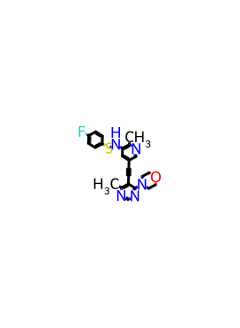 Cc1ncc(C#Cc2c(C)ncnc2N2CCOCC2)cc1NSc1ccc(F)cc1